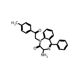 Cc1ccc(C(=O)CN2C(=O)C(N)N=C(c3ccccc3)c3ccccc32)cc1